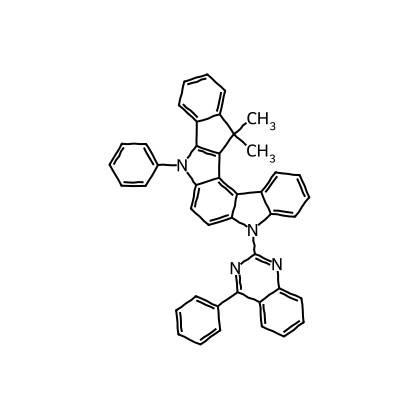 CC1(C)c2ccccc2-c2c1c1c3c4ccccc4n(-c4nc(-c5ccccc5)c5ccccc5n4)c3ccc1n2-c1ccccc1